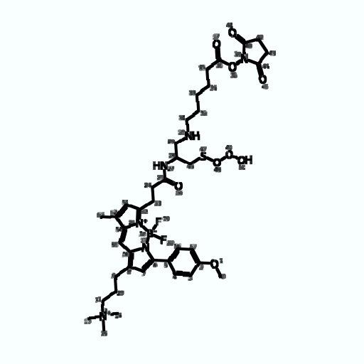 COc1ccc(-c2cc(CCC[N+](C)(C)C)c3n2[B-](F)(F)[N+]2=C(CCC(=O)NC(CNCCCCCC(=O)ON4C(=O)CCC4=O)CSOOO)C=C(C)C2=C3)cc1